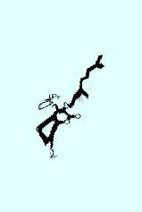 CC(C)=CCC/C(C)=C/COc1c(OC(C)C)c2cccc(OC(C)C)c2oc1=O